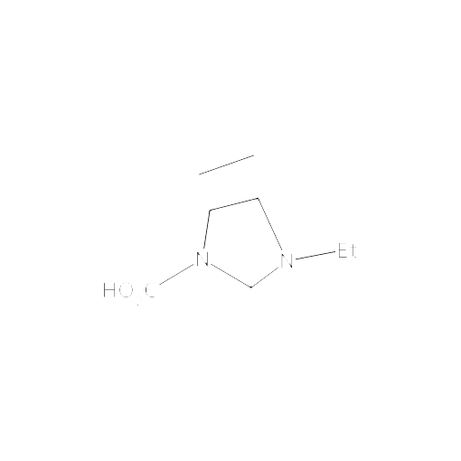 CC.CCN1CCN(C(=O)O)C1